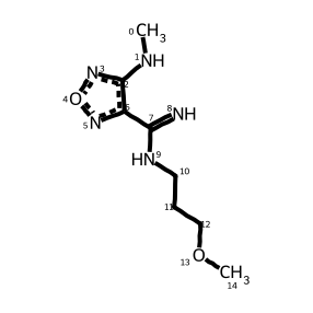 CNc1nonc1C(=N)NCCCOC